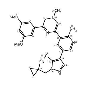 COc1cc(OC)cc(C2=NC(c3nc(-c4cnn(CC5(C#N)CC5)c4C)cnc3N)=CN(C)C2)c1